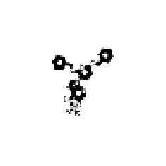 O=S(=O)(F)Oc1cnc2c(ccn2-c2ccc(OCc3ccccc3)nc2OCc2ccccc2)c1Br